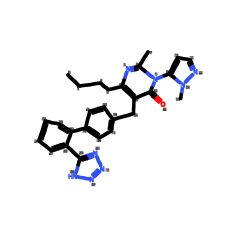 CCCCc1nc(C)n(-c2ccnn2C)c(=O)c1Cc1ccc(-c2ccccc2-c2nnn[nH]2)cc1